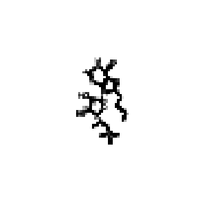 C=P(C)(C)CC(C)[C@H]1O[C@@H](n2c(CCCC)nc3c(=O)[nH]c(C)nc32)[C@H](O)[C@@H]1O